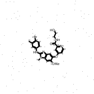 COc1cc2c(cc1Oc1ccnc(C(=O)NCCO)c1)nc(Nc1ccc(Br)c(C)c1)n2C